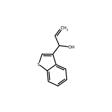 C=CC(O)c1csc2ccccc12